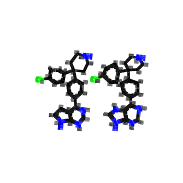 Clc1ccc(C2(c3ccc(-c4ncnc5[nH]ccc45)cc3)CCNCC2)cc1.Clc1ccc(C2(c3ccc(-c4ncnc5[nH]cnc45)cc3)CCNCC2)cc1